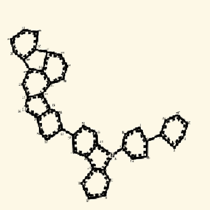 c1ccc(-c2ccc(-n3c4ccccc4c4cc(-c5ccc6oc7cc8c9c(cccc9c7c6c5)-c5ccccc5-8)ccc43)cc2)cc1